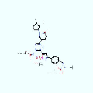 CC1CCC(n2cc(-c3cnc(N(C(=O)OC(C)(C)C)C(=O)OC(C)(C)C)c(-c4cc(-c5ccc(CN(C)C(=O)OC(C)(C)C)cc5)no4)n3)ccc2=O)C1